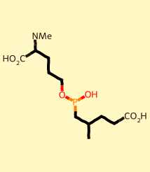 CNC(CCCOP(O)CC(C)CCC(=O)O)C(=O)O